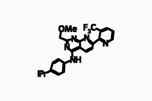 COCc1nc(Nc2ccc(C(C)C)cc2)c2ccc(-c3ncccc3C(F)(F)F)nc2n1